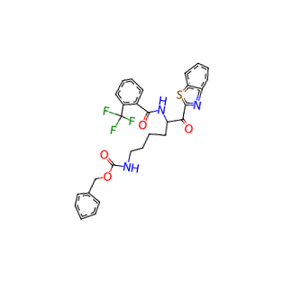 O=C(NCCCCC(NC(=O)c1ccccc1C(F)(F)F)C(=O)c1nc2ccccc2s1)OCc1ccccc1